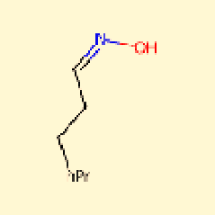 CCCCC/[C]=N\O